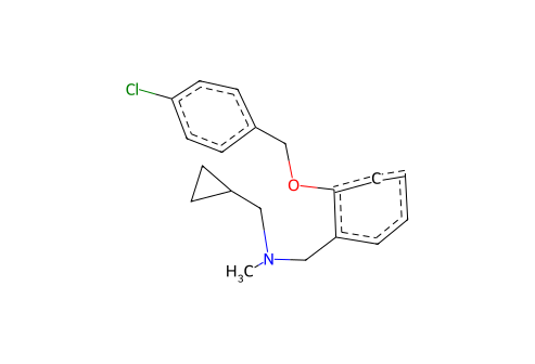 CN(Cc1ccccc1OCc1ccc(Cl)cc1)CC1CC1